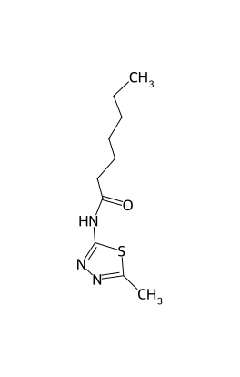 CCCCCCC(=O)Nc1nnc(C)s1